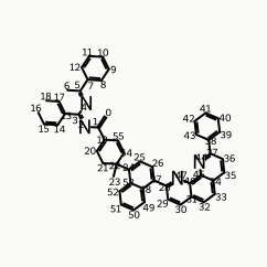 C=C(/N=C(\N=C(/C)c1ccccc1)C(/C=C\C)=C/C)C1=CCC(C)(c2ccc(-c3ccc4ccc5ccc(-c6ccccc6)nc5c4n3)c3ccccc23)C=C1